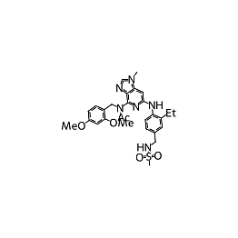 CCc1cc(CNS(C)(=O)=O)ccc1Nc1cc2c(ncn2C)c(N(Cc2ccc(OC)cc2OC)C(C)=O)n1